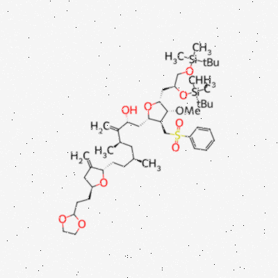 C=C([C@H](C)C[C@@H](C)CC[C@@H]1O[C@@H](CCC2OCCO2)CC1=C)[C@H](O)C[C@@H]1O[C@H](C[C@@H](CO[Si](C)(C)C(C)(C)C)O[Si](C)(C)C(C)(C)C)[C@H](OC)[C@H]1CS(=O)(=O)c1ccccc1